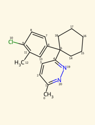 Cc1ccc(C2(c3ccc(Cl)c(C)c3)CCCCC2)nn1